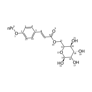 CCCOc1ccc(/C=C/C(=O)OCC2O[C@H](O)C(O)[C@@H](O)[C@@H]2O)cc1